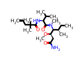 C=CCC(C)(C)C(=O)N[C@H](C(=O)N(C)[C@@H]([C@@H](C)CC)[C@@H](CC(N)=O)OC)C(C)C